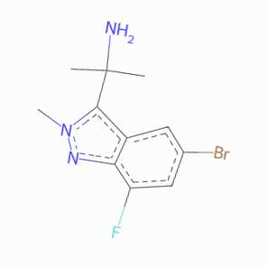 Cn1nc2c(F)cc(Br)cc2c1C(C)(C)N